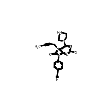 CC#CCn1c(=O)n(-c2ccc(C#N)cc2)c2nc(Cl)nc(N3CCNCC3)c21